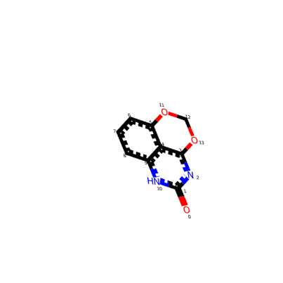 O=c1nc2c3c(cccc3[nH]1)OCO2